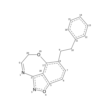 C1=Nc2noc3ccc(CCc4ccccc4)c(c23)OC1